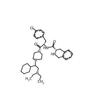 CCN(CC)CC(C1CCCCC1)N1CCN(C(=O)[C@@H](Cc2ccc(Cl)cc2)NC(=O)[C@H]2Cc3ccccc3CN2)CC1